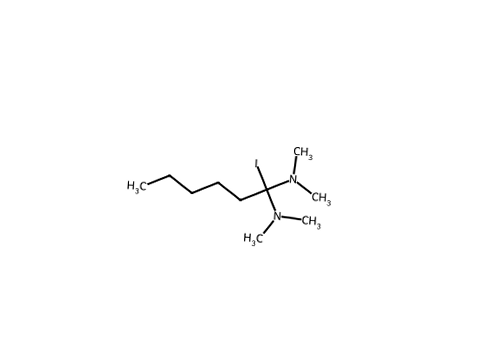 CCCCCC(I)(N(C)C)N(C)C